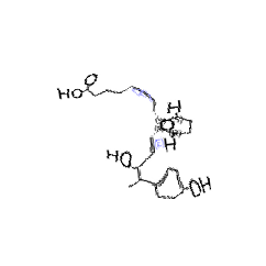 CC(c1ccc(O)cc1)C(O)/C=C/[C@@H]1[C@H](C/C=C\CCCC(=O)O)[C@@H]2CC[C@H]1O2